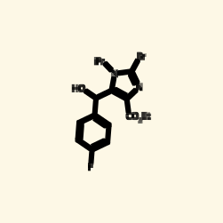 CCOC(=O)c1nc(Br)n(C(C)C)c1C(O)c1ccc(F)cc1